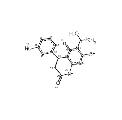 CC(C)n1c(S)nc2c(c1=O)C(c1cccc(O)c1)CC(=O)N2